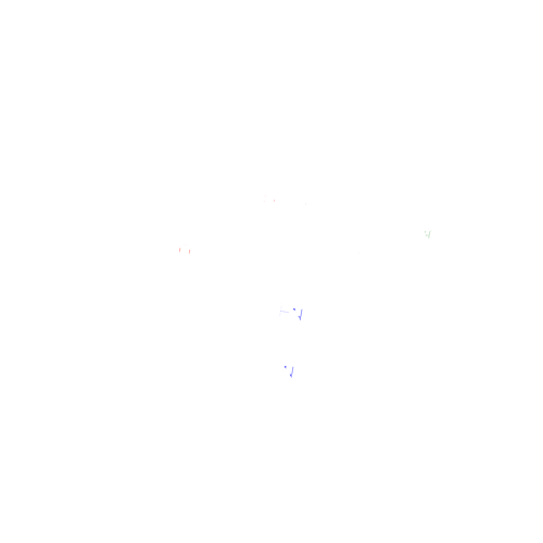 COc1ccc(Br)cc1CCc1c(OC(C)C)cccc1C1=NCCCN1